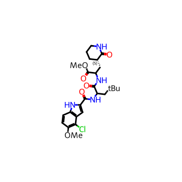 COC(=O)C(C[C@@H]1CCCNC1=O)NC(=O)C(CC(C)(C)C)NC(=O)c1cc2c(Cl)c(OC)ccc2[nH]1